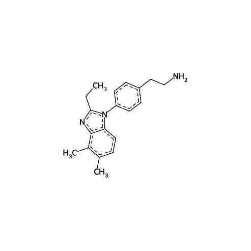 CCc1nc2c(C)c(C)ccc2n1-c1ccc(CCN)cc1